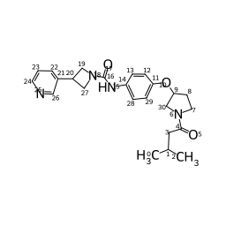 CC(C)CC(=O)N1CCC(Oc2ccc(NC(=O)N3CC(c4cccnc4)C3)cc2)C1